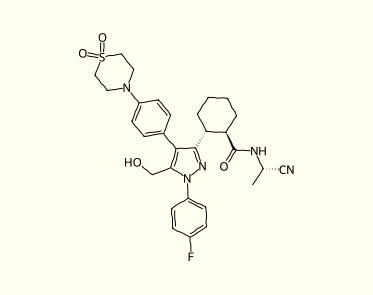 C[C@@H](C#N)NC(=O)[C@@H]1CCCC[C@H]1c1nn(-c2ccc(F)cc2)c(CO)c1-c1ccc(N2CCS(=O)(=O)CC2)cc1